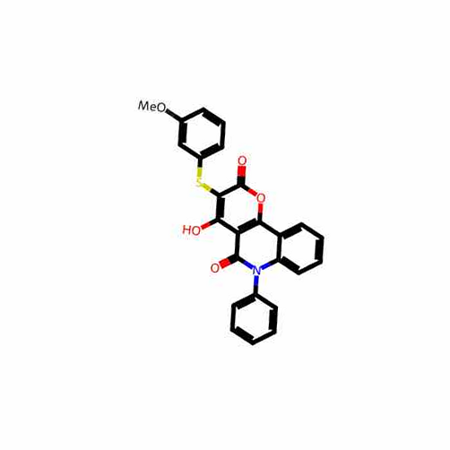 COc1cccc(Sc2c(O)c3c(=O)n(-c4ccccc4)c4ccccc4c3oc2=O)c1